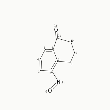 O=Nc1cccc2c1CCCC2=O